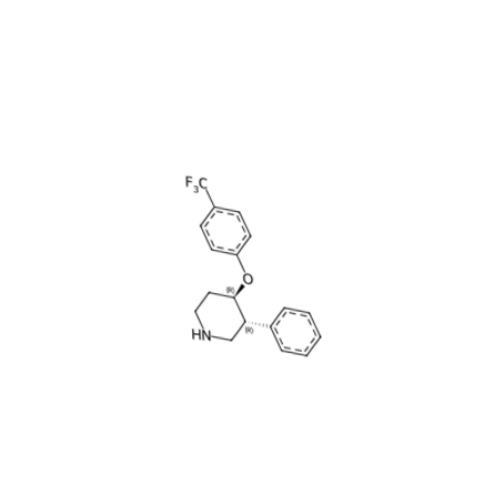 FC(F)(F)c1ccc(O[C@@H]2CCNC[C@H]2c2ccccc2)cc1